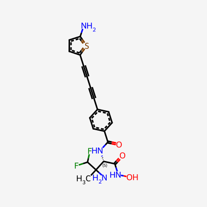 CC(N)(C(F)F)[C@H](NC(=O)c1ccc(C#CC#Cc2ccc(N)s2)cc1)C(=O)NO